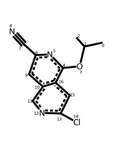 CC(C)Oc1nc(C#N)cc2cnc(Cl)cc12